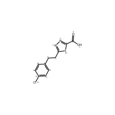 O=C(O)c1nnc(CCc2ccc(Cl)cc2)s1